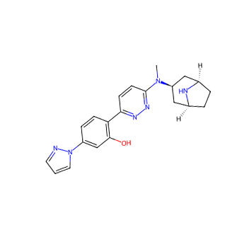 CN(c1ccc(-c2ccc(-n3cccn3)cc2O)nn1)[C@H]1C[C@H]2CC[C@@H](C1)N2